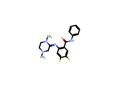 CN1CCN(C)/C(=N/c2cc(F)c(F)cc2C(=O)Nc2ccccc2)C1